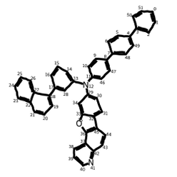 c1ccc(-c2ccc(-c3ccc(N(c4cccc(-c5cccc6ccccc56)c4)c4ccc5c(c4)oc4c6cccnc6ccc54)cc3)cc2)cc1